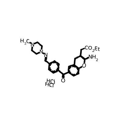 CCOC(=O)CC1Cc2cc(C(=O)c3ccc(C=NN4CCN(C)CC4)cc3)ccc2OC1N.Cl.Cl